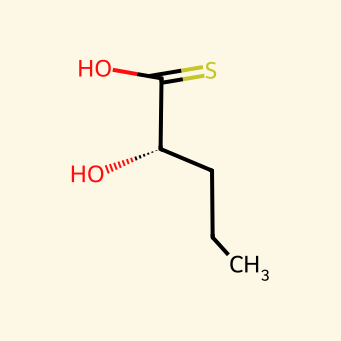 CCC[C@H](O)C(O)=S